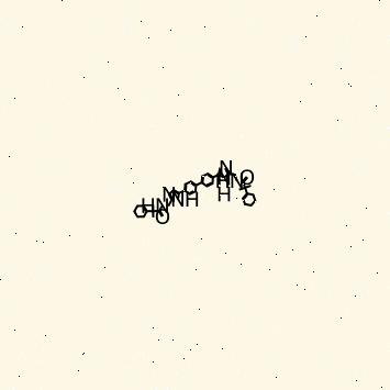 CC(C)(C(=O)NCc1ncc(-c2ccc(-c3ccc(-c4cnc(CNC(=O)C(C)(C)C5=CCCCC5)[nH]4)cc3)cc2)[nH]1)C1=CCCCC1